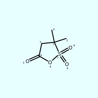 CC1(C)CC(=O)OS1(=O)=O